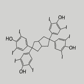 Oc1c(I)cc(C2(c3cc(I)c(O)c(I)c3)CC3CC(c4cc(I)c(O)c(I)c4)(c4cc(I)c(O)c(I)c4)CC3C2)cc1I